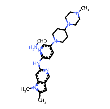 Cc1cc2cnc(Nc3ccc(N4CCC(N5CCN(C)CC5)CC4)cn3)cc2n1C.NC=O